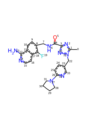 Cc1nc(C(=O)NCc2ccc3c(N)nccc3c2F)nn1Cc1ccc(N2CCCC2)nc1